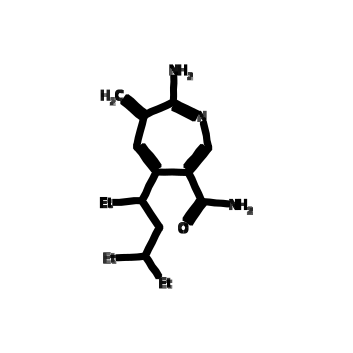 C=C1C=C(C(CC)CC(CC)CC)C(C(N)=O)=CN=C1N